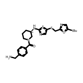 CC(C)(C)c1cnc(CSc2cnc(N[C@@H]3CCCN(C(=O)c4ccc(CN)cc4)C3)s2)o1